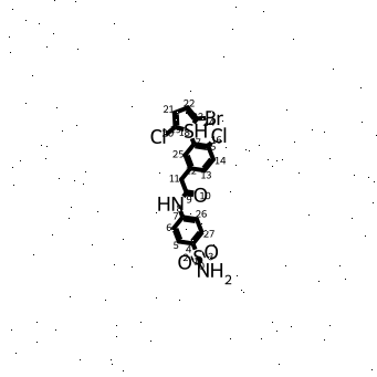 NS(=O)(=O)c1ccc(NC(=O)Cc2ccc(Cl)c([SH]3C(Cl)=CC=C3Br)c2)cc1